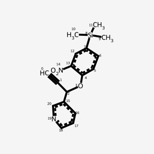 C#CC(Oc1ccc([Si](C)(C)C)cc1[N+](=O)[O-])c1cccnc1